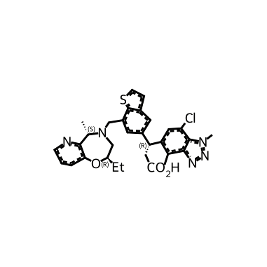 CC[C@@H]1CN(Cc2cc([C@@H](CC(=O)O)c3cc(Cl)c4c(nnn4C)c3C)cc3ccsc23)[C@@H](C)c2ncccc2O1